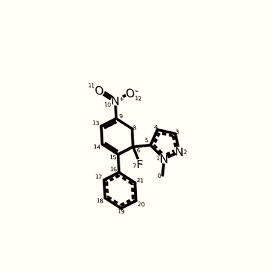 Cn1nccc1C1(F)CC([N+](=O)[O-])=CC=C1c1ccccc1